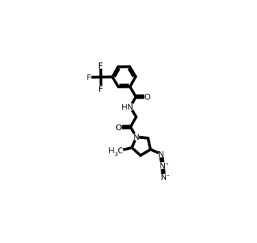 CC1CC(N=[N+]=[N-])CN1C(=O)CNC(=O)c1cccc(C(F)(F)F)c1